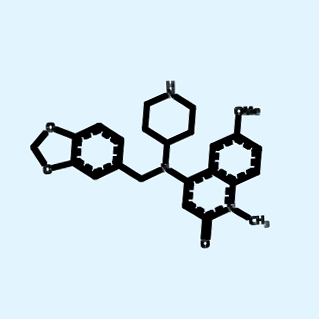 COc1ccc2c(c1)c(N(Cc1ccc3c(c1)OCO3)C1CCNCC1)cc(=O)n2C